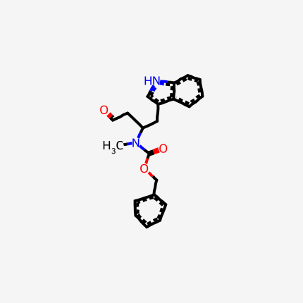 CN(C(=O)OCc1ccccc1)C(CC=O)Cc1c[nH]c2ccccc12